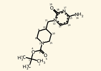 CC(C)(C)OC(=O)N1CCC(Cn2ccc(N)nc2=O)CC1